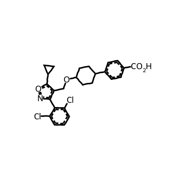 O=C(O)c1ccc(C2CCC(OCc3c(-c4c(Cl)cccc4Cl)noc3C3CC3)CC2)cc1